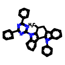 CC1Cc2c(n(-c3ccccc3)c3ccccc23)-c2c1n(-c1nc(-c3ccccc3)nc(-c3ccccc3)n1)c1ccccc21